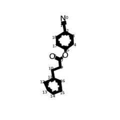 N#Cc1ccc(OC(=O)CCc2ccccc2)cc1